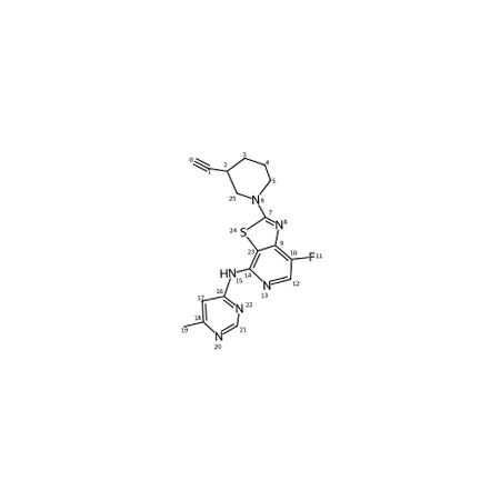 C#CC1CCCN(c2nc3c(F)cnc(Nc4cc(C)ncn4)c3s2)C1